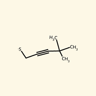 CC(C)(C)C#CC[S]